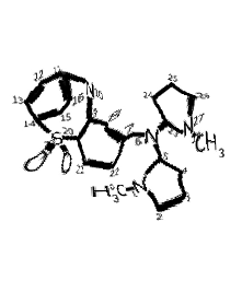 CN1CCCC1N(C1=CC2=Nc3ccc(cc3)S(=O)(=O)C2C=C1)C1CCCN1C